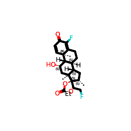 CCC(=O)O[C@@]1(C(=O)CF)[C@@H](C)C[C@H]2[C@@H]3CCC4=C(F)C(=O)C=C[C@]4(C)[C@H]3[C@@H](O)C[C@@]21C